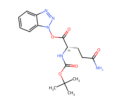 CC(C)(C)OC(=O)N[C@@H](CCC(N)=O)C(=O)On1nnc2ccccc21